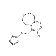 Clc1ccc2c(c1CSc1cccs1)CCNCC2